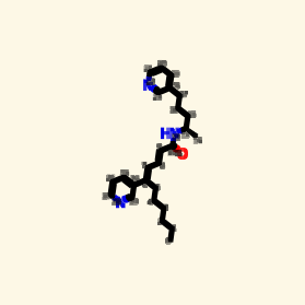 CCCCCC/C(=C\C=C\C(=O)N[C@H](C)CCCc1cccnc1)c1cccnc1